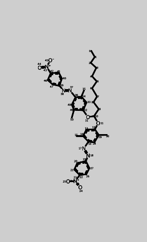 CCCCCCCCCCC(Oc1cc(C)c(N=Nc2ccc([N+](=O)[O-])cc2)cc1C)Oc1cc(C)c(N=Nc2ccc([N+](=O)[O-])cc2)cc1C